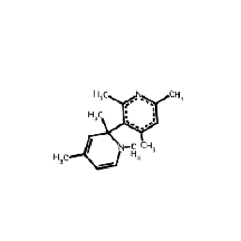 CC1=CC(C)(c2c(C)cc(C)nc2C)N(C)C=C1